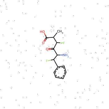 CC(C(=O)O)C(F)C(=O)C(N)C(F)c1ccccc1